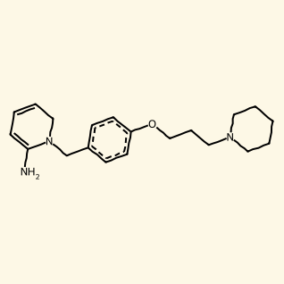 NC1=CC=CCN1Cc1ccc(OCCCN2CCCCC2)cc1